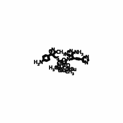 Cc1noc(-c2ccc(N)cc2)c1CSC[C@H]1O[C@@H](n2cc(C#Cc3cncnc3)c3c(N)ncnc32)[C@H](O[Si](C)(C)C(C)(C)C)[C@@H]1O[Si](C)(C)C(C)(C)C